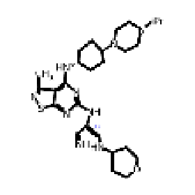 Cc1nsc2nc(N/C(C=N)=C/NC3CCOCC3)nc(N[C@H]3CC[C@H](N4CCN(C(C)C)CC4)CC3)c12